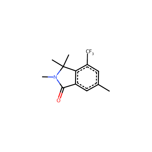 Cc1cc2c(c(C(F)(F)F)c1)C(C)(C)N(C)C2=O